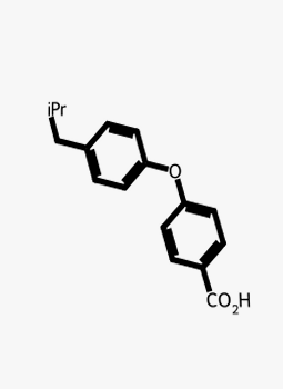 CC(C)Cc1ccc(Oc2ccc(C(=O)O)cc2)cc1